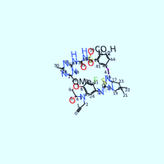 C#CCN1C(=O)COc2cc(F)c(/N=c3\snc4n3CC(C)(C)C4)cc21.COc1nc(C)nc(NC(=O)NS(=O)(=O)c2cc(I)ccc2C(=O)O)n1